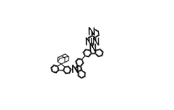 c1ccc2c(c1)-c1ccc(-n3c4ccccc4c4cc(-c5ccc6c(c5)c5ccccc5n6-c5ncc6ncccc6n5)ccc43)cc1C21C2CC3CC(C2)CC1C3